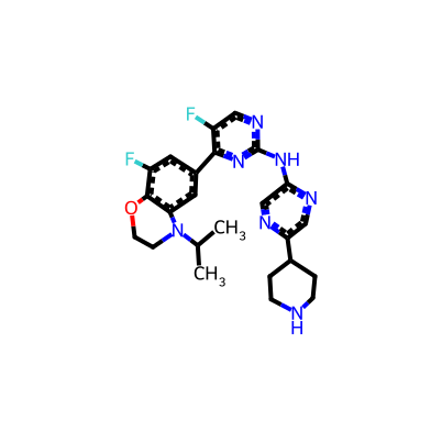 CC(C)N1CCOc2c(F)cc(-c3nc(Nc4cnc(C5CCNCC5)cn4)ncc3F)cc21